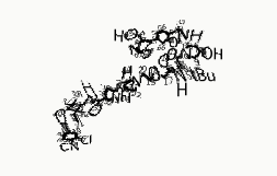 C[C@H](NC(=O)[C@@H]1C[C@@H](O)CN1C(=O)[C@@H](NC(=O)COCCN1C[C@H]2C[C@@H]1CN2c1ccc(C(=O)NC2C(C)(C)C(Oc3ccc(C#N)c(Cl)c3)C2(C)C)cn1)C(C)(C)C)c1ccc(-c2scnc2CO)cc1